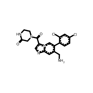 NCc1cc2ncc(C(=O)N3CCNC(=O)C3)n2cc1-c1ccc(Cl)cc1Cl